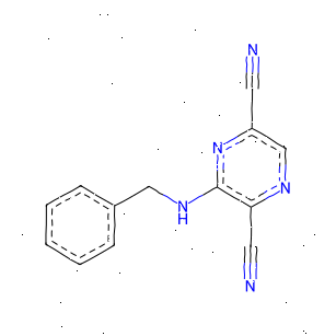 N#Cc1cnc(C#N)c(NCc2ccccc2)n1